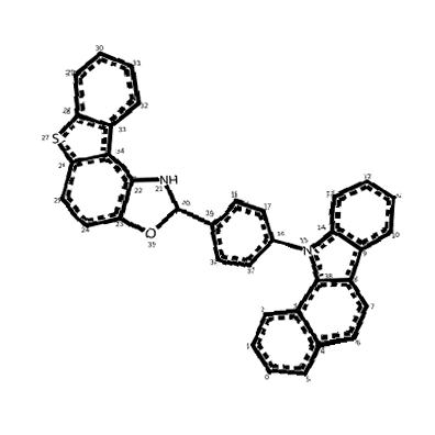 c1ccc2c(c1)ccc1c3ccccc3n(-c3ccc(C4Nc5c(ccc6sc7ccccc7c56)O4)cc3)c21